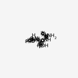 Nc1nc(Nc2ccc(Oc3ccnc(CNS(=O)(=O)c4ccc(F)cc4)c3)cc2)cc(-c2ccccc2)n1.O=C(O)C(F)(F)F